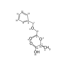 C[C@H](OC(=O)COCc1ccccc1)C(=O)O